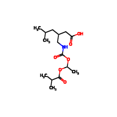 CC(C)CC(CNC(=O)OC(C)OC(=O)C(C)C)CC(=O)O